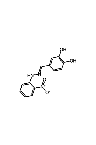 O=[N+]([O-])c1ccccc1NN=Cc1ccc(O)c(O)c1